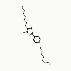 CCCCCCCCc1c(Cl)nc(-c2ccc(OCCCCC[C@@H](C)CC)cc2)nc1Cl